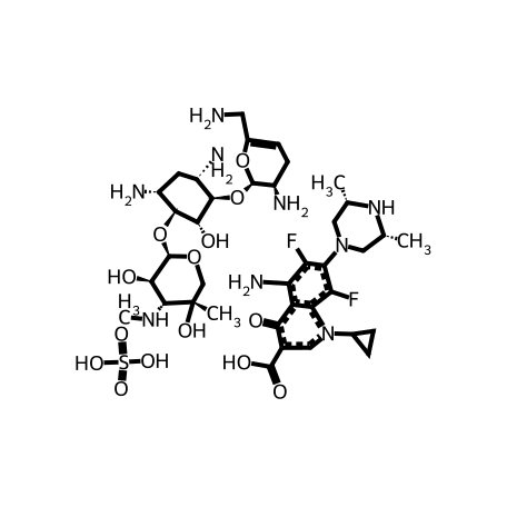 CN[C@@H]1[C@@H](O)[C@@H](O[C@@H]2[C@@H](O)[C@H](O[C@H]3OC(CN)=CC[C@H]3N)[C@@H](N)C[C@H]2N)OC[C@]1(C)O.C[C@@H]1CN(c2c(F)c(N)c3c(=O)c(C(=O)O)cn(C4CC4)c3c2F)C[C@H](C)N1.O=S(=O)(O)O